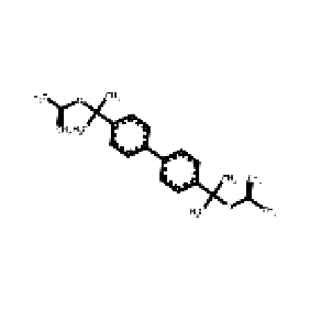 C=C(C)OC(C)(C)c1ccc(-c2ccc(C(C)(C)OC(=C)C)cc2)cc1